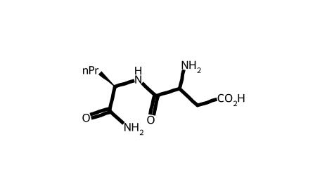 CCC[C@@H](NC(=O)C(N)CC(=O)O)C(N)=O